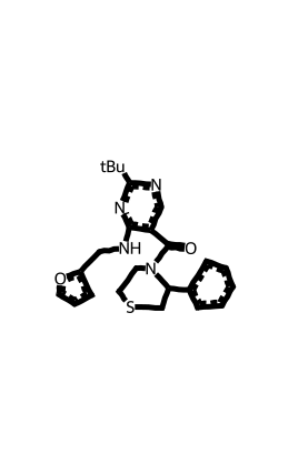 CC(C)(C)c1ncc(C(=O)N2CCSCC2c2ccccc2)c(NCc2ccco2)n1